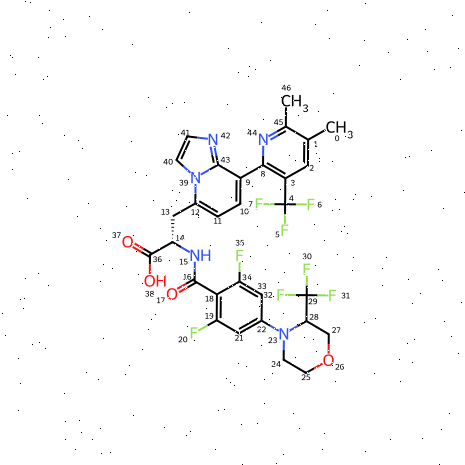 Cc1cc(C(F)(F)F)c(-c2ccc(C[C@H](NC(=O)c3c(F)cc(N4CCOCC4C(F)(F)F)cc3F)C(=O)O)n3ccnc23)nc1C